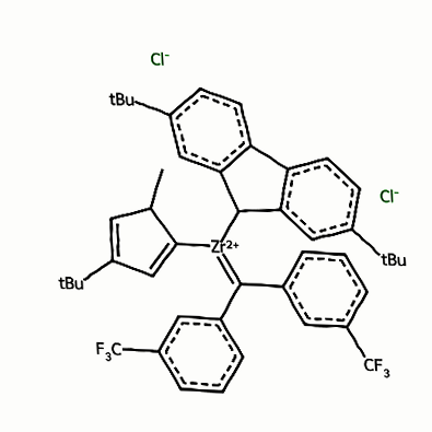 CC1C=C(C(C)(C)C)C=[C]1[Zr+2](=[C](c1cccc(C(F)(F)F)c1)c1cccc(C(F)(F)F)c1)[CH]1c2cc(C(C)(C)C)ccc2-c2ccc(C(C)(C)C)cc21.[Cl-].[Cl-]